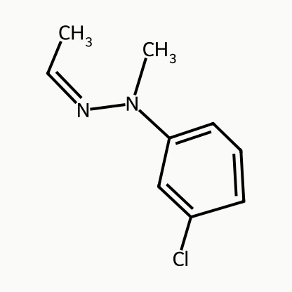 C/C=N\N(C)c1cccc(Cl)c1